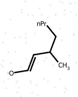 CCCCC(C)C=C[O]